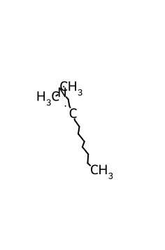 CCCCCCCCC[CH]CN(C)C